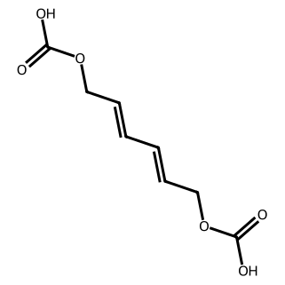 O=C(O)OCC=CC=CCOC(=O)O